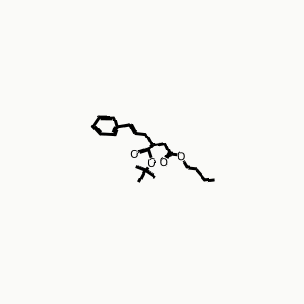 CCCCOC(=O)CC(CC=Cc1ccccc1)C(=O)OC(C)(C)C